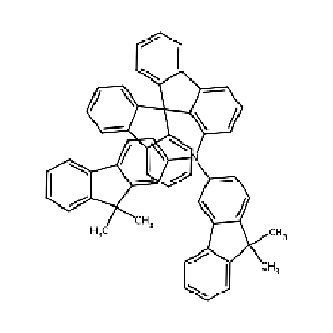 CC1(C)c2ccccc2-c2cc(N(c3ccc4c(c3)C(C)(C)c3ccccc3-4)c3cccc4c3C3(c5ccccc5-c5ccccc53)c3ccccc3-4)ccc21